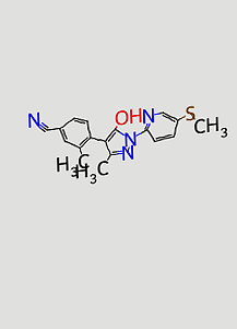 CSc1ccc(-n2nc(C)c(-c3ccc(C#N)cc3C)c2O)nc1